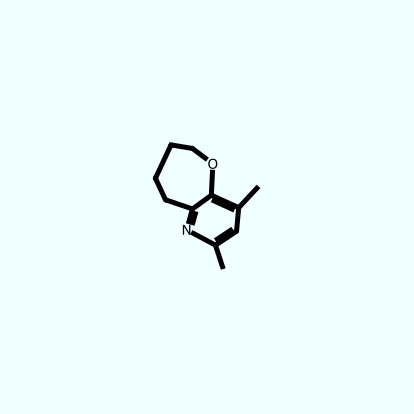 Cc1cc(C)c2c(n1)CCCCO2